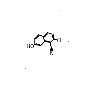 N#Cc1c(Cl)ccc2ccc(O)cc12